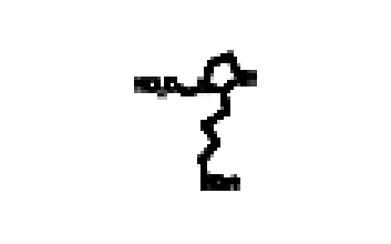 CCCCCCCCCCCCC1NCCN1CC(=O)O